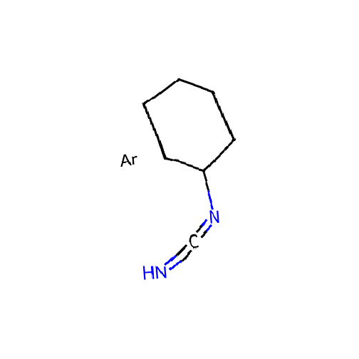 N=C=NC1CCCCC1.[Ar]